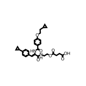 O=C(O)CCC(=O)OCCNC(=O)/C(=C/c1ccc(C2CC2)cc1)NC(=O)c1ccc(OCCC2CC2)cc1